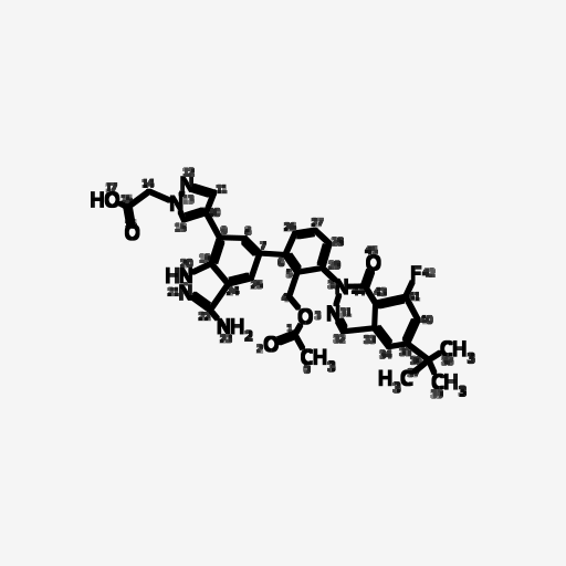 CC(=O)OCc1c(-c2cc(-c3cnn(CC(=O)O)c3)c3[nH]nc(N)c3c2)cccc1-n1ncc2cc(C(C)(C)C)cc(F)c2c1=O